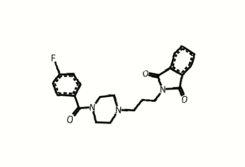 O=C(c1ccc(F)cc1)N1CCN(CCCN2C(=O)c3ccccc3C2=O)CC1